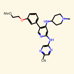 COCCOc1cccc(-c2cnc(Nc3cnc(C#N)cn3)cc2NC2CCN(C)CC2)c1